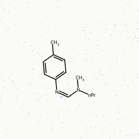 CCCN(C)/C=N\c1ccc(C)cc1